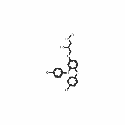 CC(C)NCC(O)COc1ccc(Oc2ccc(Cl)cc2)c(Oc2ccc(Cl)cc2)c1